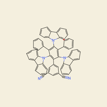 N#Cc1cc(C#N)cc(-c2c(-n3c4ccccc4c4ccccc43)c(-c3ccccc3)c(-n3c4ccccc4c4ccccc43)c(-c3ccccc3)c2-n2c3ccccc3c3ccccc32)c1